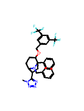 Cn1nnnc1C1CC2(c3ccccc3)C(OCc3cc(C(F)(F)F)cc(C(F)(F)F)c3)CCC1N2Cc1ccccc1